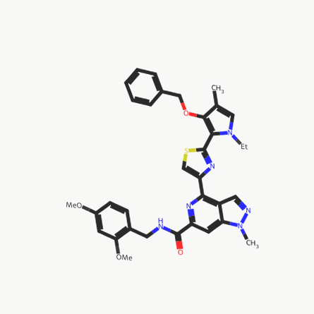 CCn1cc(C)c(OCc2ccccc2)c1-c1nc(-c2nc(C(=O)NCc3ccc(OC)cc3OC)cc3c2cnn3C)cs1